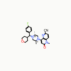 C[C@@H]1CN(c2cc(=O)n(C)c3ccc(C#N)nc23)[C@@H](C)CN1C(c1ccc(F)cc1)C1CCOCC1